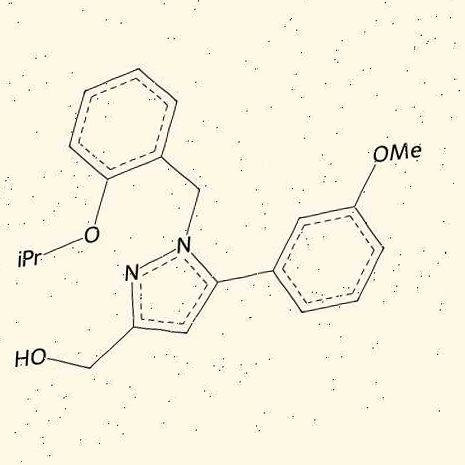 COc1cccc(-c2cc(CO)nn2Cc2ccccc2OC(C)C)c1